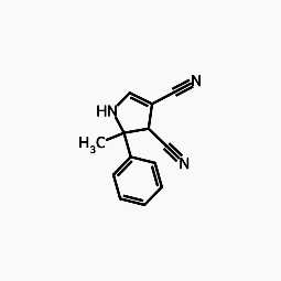 CC1(c2ccccc2)NC=C(C#N)C1C#N